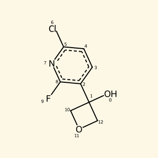 OC1(c2ccc(Cl)nc2F)COC1